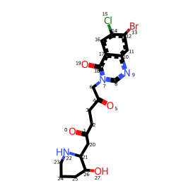 O=C(CCC(=O)Cn1cnc2cc(Br)c(Cl)cc2c1=O)CC1NCCCC1O